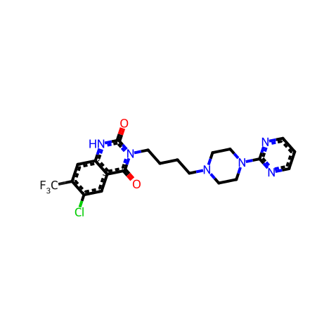 O=c1[nH]c2cc(C(F)(F)F)c(Cl)cc2c(=O)n1CCCCN1CCN(c2ncccn2)CC1